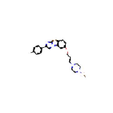 CS(=O)(=O)N1CCN(CCCOc2ccc3sc4nc(-c5ccc([N+](=O)[O-])cc5)cn4c3c2)CC1